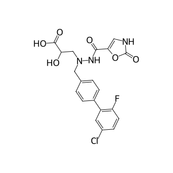 O=C(NN(Cc1ccc(-c2cc(Cl)ccc2F)cc1)CC(O)C(=O)O)c1c[nH]c(=O)o1